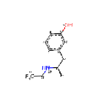 C[C@H](Cc1cccc(O)c1)NCC(F)(F)F